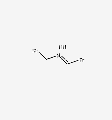 CC(C)C=NCC(C)C.[LiH]